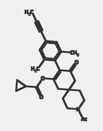 CC#Cc1cc(C)c(C2=C(OC(=O)C3CC3)CC3(CCN(C(C)=O)CC3)CC2=O)c(C)c1